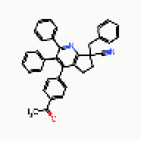 CC(=O)c1ccc(-c2c3c(nc(-c4ccccc4)c2-c2ccccc2)C(C#N)(Cc2ccccc2)CC3)cc1